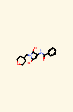 O=C(NC1=CC(O)N(CC2CCOCC2)C1O)c1ccccc1